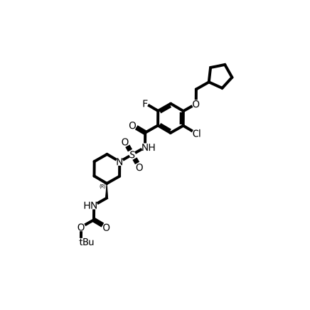 CC(C)(C)OC(=O)NC[C@H]1CCCN(S(=O)(=O)NC(=O)c2cc(Cl)c(OCC3CCCC3)cc2F)C1